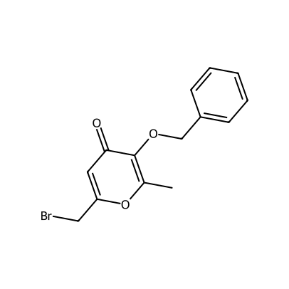 Cc1oc(CBr)cc(=O)c1OCc1ccccc1